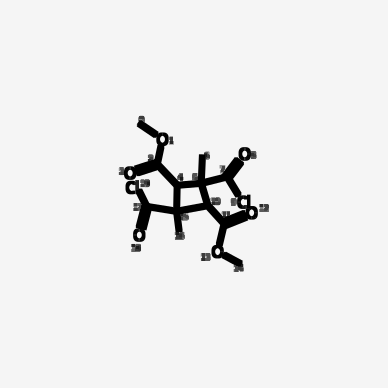 COC(=O)C1C(C)(C(=O)Cl)C(C(=O)OC)C1(C)C(=O)Cl